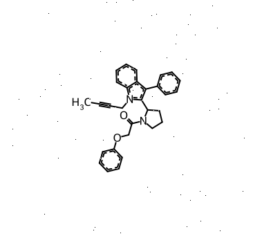 CC#CCn1c(C2CCCN2C(=O)COc2ccccc2)c(-c2ccccc2)c2ccccc21